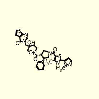 Cc1nc(-c2ccnn2C)sc1C(=O)N1CC[C@@H](C(=O)N2CCC(O)(Cn3cnc4sccc4c3=O)CC2)[C@H](c2ccccc2)C1